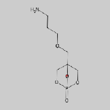 NCCCOCC12COP(=O)(OC1)OC2